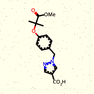 COC(=O)C(C)(C)Oc1ccc(Cn2cc(C(=O)O)cn2)cc1